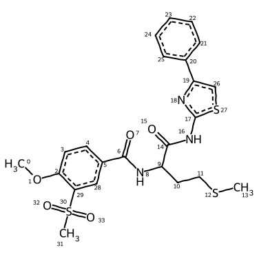 COc1ccc(C(=O)NC(CCSC)C(=O)Nc2nc(-c3ccccc3)cs2)cc1S(C)(=O)=O